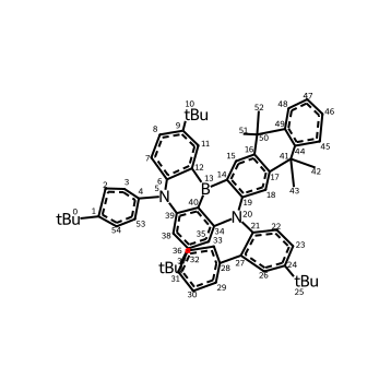 CC(C)(C)c1ccc(N2c3ccc(C(C)(C)C)cc3B3c4cc5c(cc4N(c4ccc(C(C)(C)C)cc4-c4ccccc4)c4cc(C(C)(C)C)cc2c43)C(C)(C)c2ccccc2C5(C)C)cc1